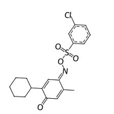 CC1=CC(=O)C(C2CCCCC2)=C/C1=N\OS(=O)(=O)c1cccc(Cl)c1